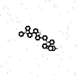 C[C@H]1CC2CC(C1)C1(c3ccccc3N(c3cccc(-c4cccc5c4oc4cccc(-c6cccc7c6c6ccccc6n7-c6ccccc6)c45)c3)c3ccccc31)[C@H](I)C2